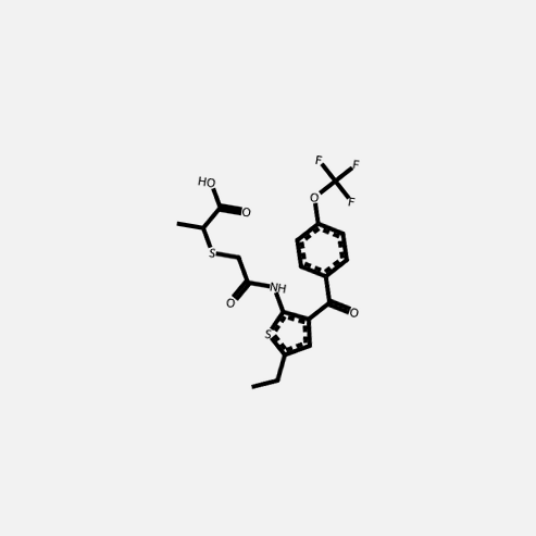 CCc1cc(C(=O)c2ccc(OC(F)(F)F)cc2)c(NC(=O)CSC(C)C(=O)O)s1